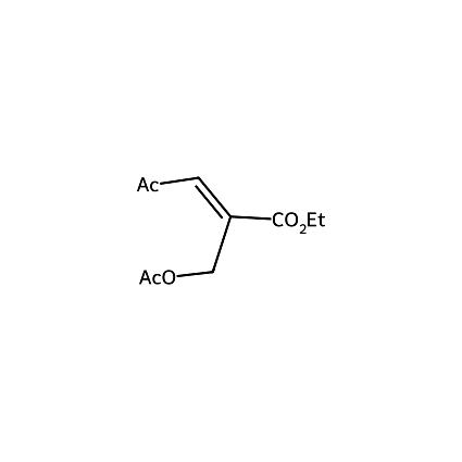 CCOC(=O)C(=CC(C)=O)COC(C)=O